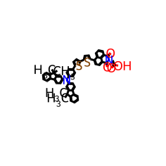 CC1(C)c2ccccc2-c2ccc(N(c3ccc(-c4ccc(-c5ccc(-c6ccc7c8c(cccc68)C(=O)N(CC(=O)O)C7=O)s5)s4)cc3)c3ccc4c(c3)C(C)(C)c3ccccc3-4)cc21